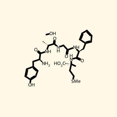 CO.CSCC[C@](C)(NC(=O)[C@H](Cc1ccccc1)NC(=O)CNC(=O)[C@@H](C)NC(=O)[C@@H](N)Cc1ccc(O)cc1)C(=O)O